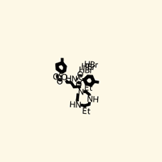 Br.Br.Br.CCC1CNCC(CC)N(CCC(COS(=O)(=O)c2ccc(C)cc2)NS(=O)(=O)c2ccc(C)cc2)CCN1